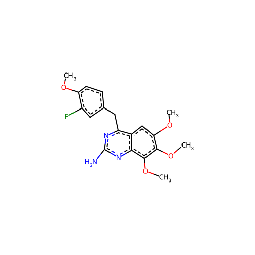 COc1ccc(Cc2nc(N)nc3c(OC)c(OC)c(OC)cc23)cc1F